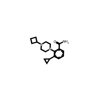 NC(=O)c1cccc(C2CC2)c1N1CCN(C2CCC2)CC1